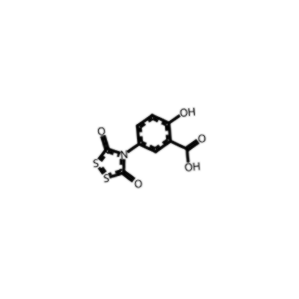 O=C(O)c1cc(-n2c(=O)ssc2=O)ccc1O